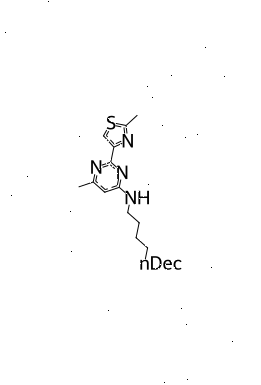 CCCCCCCCCCCCCCNc1cc(C)nc(-c2csc(C)n2)n1